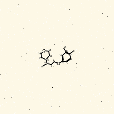 Cc1ccc(OCCN(C)C2CCOCC2)cc1C